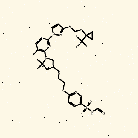 Cc1ccc(-n2ccc(OCCC3(C(F)(F)F)CC3)n2)nc1N1CC(CCCOc2ccc(S(=O)(=O)NC=O)cn2)CC1(C)C